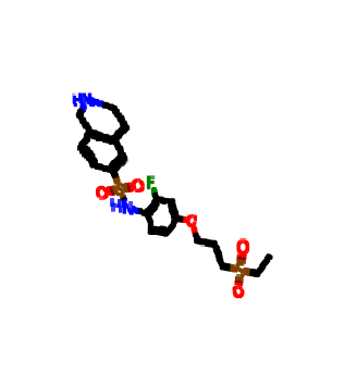 CCS(=O)(=O)CCCOc1ccc(NS(=O)(=O)c2ccc3c(c2)CCNC3)c(F)c1